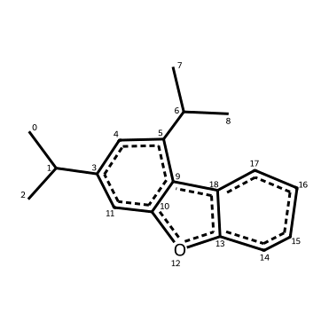 CC(C)c1cc(C(C)C)c2c(c1)oc1ccccc12